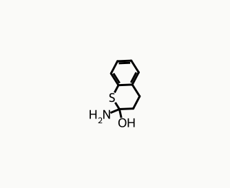 NC1(O)CCc2ccccc2S1